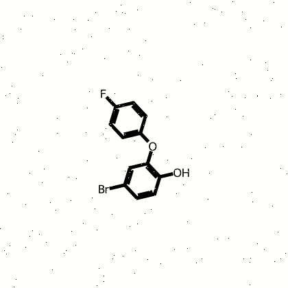 Oc1ccc(Br)cc1Oc1ccc(F)cc1